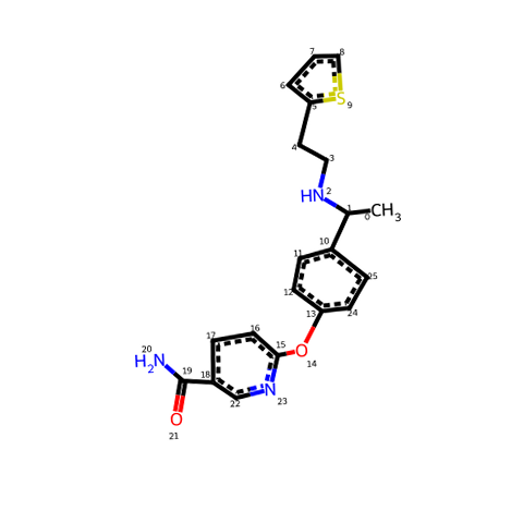 CC(NCCc1cccs1)c1ccc(Oc2ccc(C(N)=O)cn2)cc1